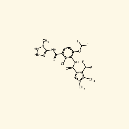 Cc1c(C(F)F)c(C(=O)Nc2c(OC(F)F)ccc(C(=O)NC3=NNNN3C)c2Cl)nn1C